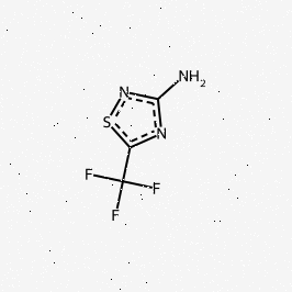 Nc1nsc(C(F)(F)F)n1